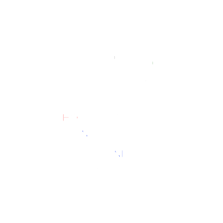 ON1CCNC1c1ccc(Cl)c(C(F)(F)F)c1